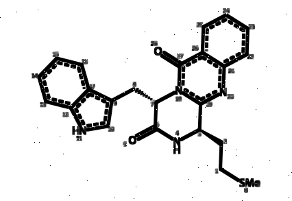 CSCC[C@H]1NC(=O)[C@H](Cc2c[nH]c3ccccc23)n2c1nc1ccccc1c2=O